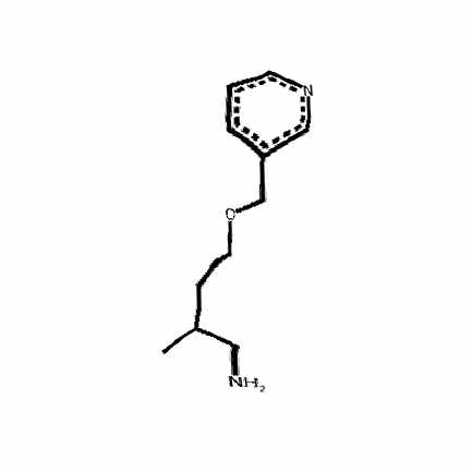 CC(CN)CCOCc1cccnc1